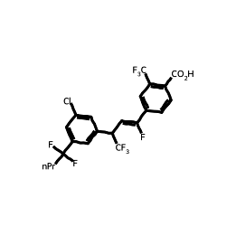 CCCC(F)(F)c1cc(Cl)cc(C(C=C(F)c2ccc(C(=O)O)c(C(F)(F)F)c2)C(F)(F)F)c1